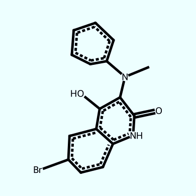 CN(c1ccccc1)c1c(O)c2cc(Br)ccc2[nH]c1=O